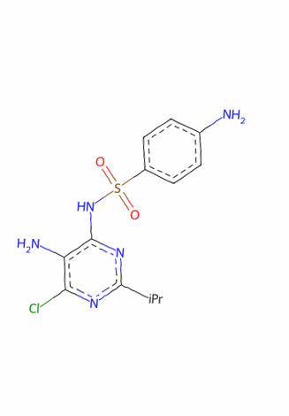 CC(C)c1nc(Cl)c(N)c(NS(=O)(=O)c2ccc(N)cc2)n1